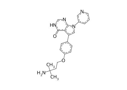 CC(C)(N)CCOc1ccc(-c2cn(-c3cccnc3)c3nc[nH]c(=O)c23)cc1